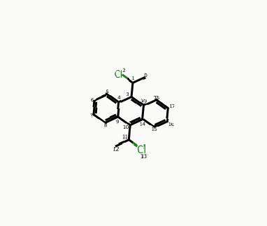 CC(Cl)c1c2ccccc2c(C(C)Cl)c2ccccc12